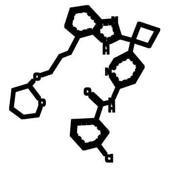 O=C(Nc1ccc(C2(c3nc4cccc(CCCOC5CCCCO5)c4[nH]3)CCC2)cn1)c1cccc(Cl)c1